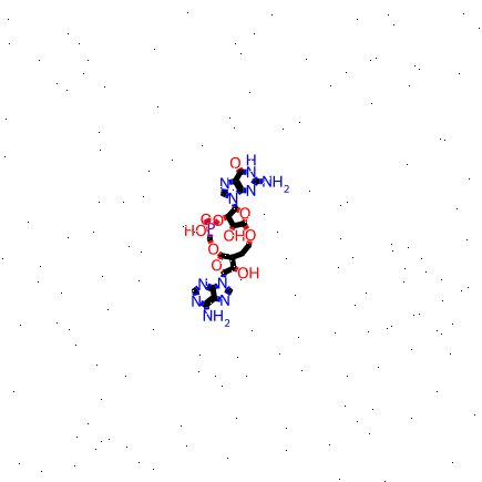 Nc1nc2c(ncn2C2OC3OCCC4C(OCP(=O)(O)OC2C3O)OC(n2cnc3c(N)ncnc32)C4O)c(=O)[nH]1